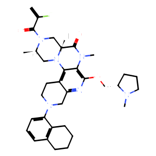 C=C(F)C(=O)N1C[C@@H]2C(=O)N(C)c3c(OC[C@@H]4CCCN4C)nc4c(c3N2C[C@H]1C)CCN(c1cccc2c1CCCC2)C4